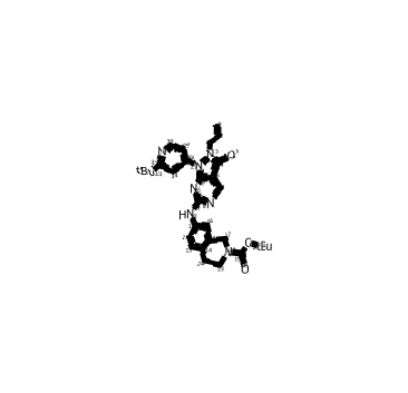 C=CCn1c(=O)c2cnc(Nc3ccc4c(c3)CN(C(=O)OC(C)(C)C)CC4)nc2n1-c1ccnc(C(C)(C)C)c1